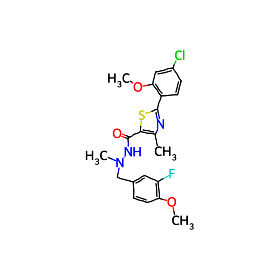 COc1ccc(CN(C)NC(=O)c2sc(-c3ccc(Cl)cc3OC)nc2C)cc1F